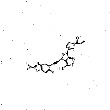 C=CC(=O)N1CC[C@H](n2nc(C#Cc3cc4nc(C(F)F)sc4cc3F)c3c(N)ncnc32)C1